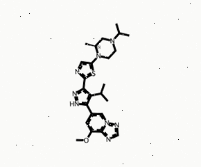 COc1cc(-c2[nH]nc(-c3ncc(N4CCN(C(C)C)C[C@@H]4C)s3)c2C(C)C)cn2ncnc12